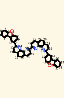 c1ccc2c(c1)oc1ccc(-c3ccc4ccc5ccc(-c6ccc7ccc8ccc(-c9ccc%10oc%11ccccc%11c%10c9)nc8c7n6)nc5c4n3)cc12